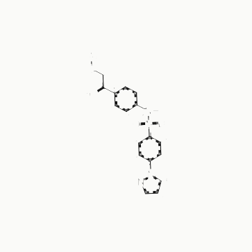 CC(=O)SCC(=O)c1ccc(NS(=O)(=O)c2ccc(-n3cccn3)cc2)cc1